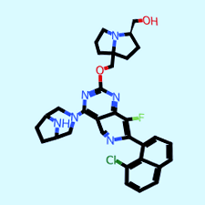 OC[C@H]1CCC2(COc3nc(N4CC5CCC(C4)N5)c4cnc(-c5cccc6cccc(Cl)c56)c(F)c4n3)CCCN12